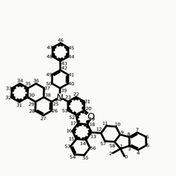 CC1(C)C2=CCCC=C2C2CCC(c3c4c(cc5c3oc3ccc(N(C6=CC=CC7c8ccccc8CCC67)C6C=CC(c7ccccc7)=CC6)cc35)C=CCC4)CC21